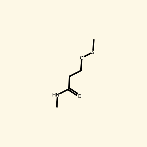 CNC(=O)CCOSC